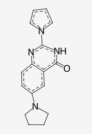 O=c1[nH]c(-n2cccc2)nc2ccc(N3CCCC3)cc12